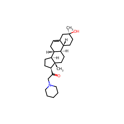 C[C@]1(O)CC[C@H]2C(=CC[C@@H]3[C@@H]2CC[C@]2(C)[C@@H](C(=O)CN4CCCCC4)CC[C@@H]32)C1